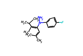 CC(C)=CC(=C(C)C(C)C)N(N)c1ccc(F)cc1